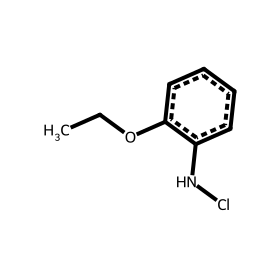 CCOc1ccccc1NCl